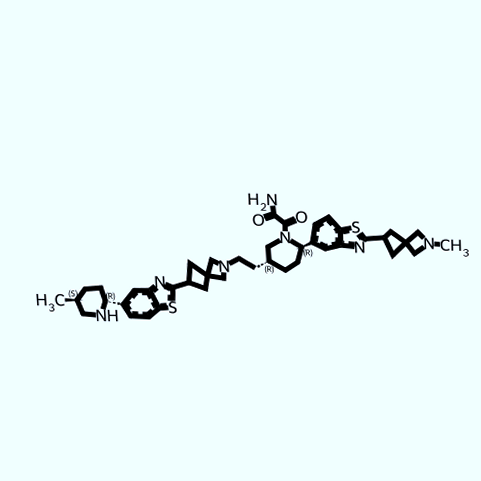 C[C@H]1CC[C@H](c2ccc3sc(C4CC5(C4)CN(CC[C@H]4CC[C@H](c6ccc7sc(C8CC9(C8)CN(C)C9)nc7c6)N(C(=O)C(N)=O)C4)C5)nc3c2)NC1